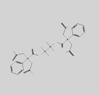 C=C(CC(CC(=C)C(=O)OCC)(C(=O)OC(C)(C)C(C)(C)OC(=O)C(CC(=C)C(=O)OCC)(CC(=C)C(=O)OCC)c1ccccc1)c1ccccc1)C(=O)OCC